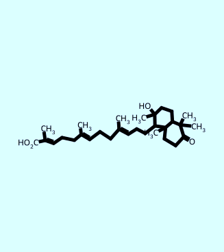 C/C(=C\CC/C(C)=C/CCC1C(C)(O)CCC2C(C)(C)C(=O)CCC12C)CC/C=C(\C)C(=O)O